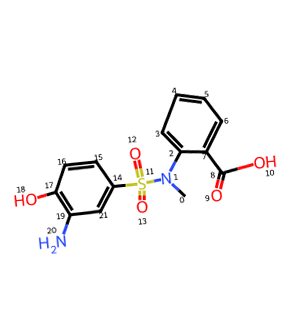 CN(c1ccccc1C(=O)O)S(=O)(=O)c1ccc(O)c(N)c1